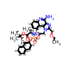 CCOCc1nc2c(N)nc3ccccc3c2n1C[C@@H](C)OP(=O)(N[C@@H](C)C(=O)OC(C)(C)C)Oc1ccc2ccccc2c1